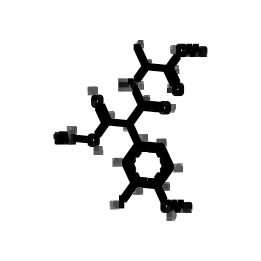 COC(=O)C(C)NC(=O)C(C(=O)OC(C)(C)C)c1ccc(OC)c(I)c1